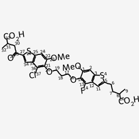 COc1cc2sc(CCC(C)C(=O)O)cc2c(F)c1OCCCOc1c(OC)cc2sc(C(=O)CC(C)C(=O)O)cc2c1Cl